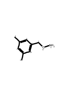 Cc1cc(C)cc(CON)c1